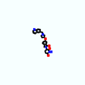 O=C1CCC(N2Cc3ccc(OC4CCN(Cc5ccc6ncccc6c5)C4)cc3C2=O)C(=O)N1